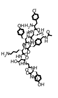 CC(=O)NCc1ccc(C[C@@H](NC(=O)[C@H](Cc2ccc(O)cc2)NC(=O)[C@@H](CSS)NC(=O)[C@@H](N)Cc2ccc(Cl)cc2)C(=O)N[C@@H](CCCCN)C(=O)N[C@H](C(=O)NCC(=O)N[C@H](Cc2ccc(O)cc2)C(N)=O)[C@@H](C)O)cc1